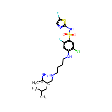 CC(C)C[C@@H](CNCCCCNc1cc(F)c(S(=O)(=O)Nc2ncc(F)s2)cc1Cl)[C@@H](C)N